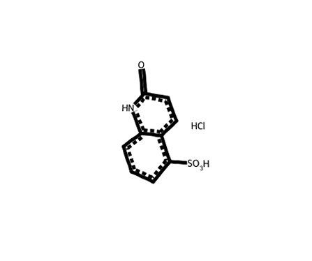 Cl.O=c1ccc2c(S(=O)(=O)O)cccc2[nH]1